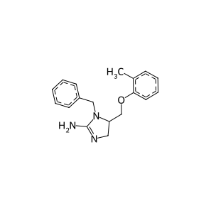 Cc1ccccc1OCC1CN=C(N)N1Cc1ccccc1